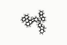 CC1(C)c2ccccc2-c2ccc(N(c3ccc4oc5c(-c6cccc7ccccc67)c6ccccc6cc5c4c3)c3cccc4c3sc3ccccc34)cc21